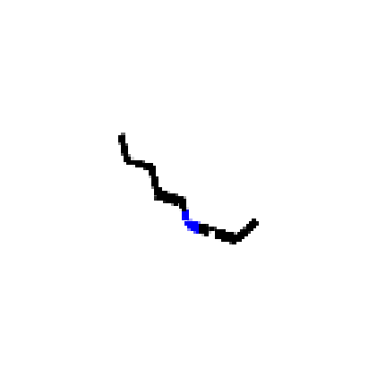 CC=C=NC=CCCC